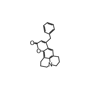 O=c1cc(Cc2ccccc2)c2cc3c4c(c2o1)CCCN4CCC3